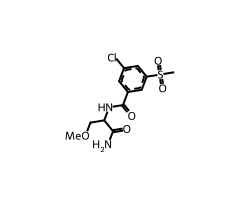 COCC(NC(=O)c1cc(Cl)cc(S(C)(=O)=O)c1)C(N)=O